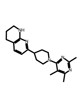 Cc1nc(C)c(C)c(N2CCC(c3ccc4c(n3)NCCC4)CC2)n1